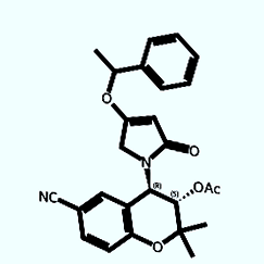 CC(=O)O[C@H]1[C@H](N2CC(OC(C)c3ccccc3)=CC2=O)c2cc(C#N)ccc2OC1(C)C